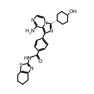 Nc1nccn2c1c(-c1ccc(C(=O)Nc3nc4c(s3)CCCC4)cc1)nc2[C@H]1CC[C@H](O)CC1